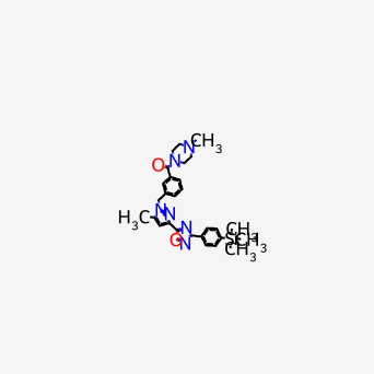 Cc1cc(-c2nc(-c3ccc([Si](C)(C)C)cc3)no2)nn1Cc1cccc(C(=O)N2CCN(C)CC2)c1